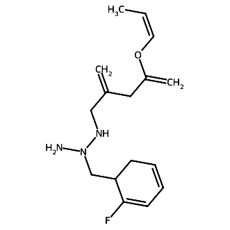 C=C(CNN(N)CC1CC=CC=C1F)CC(=C)O/C=C\C